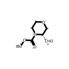 CC(C)(C)OC(=O)N1CCOC[C@@H]1C=O